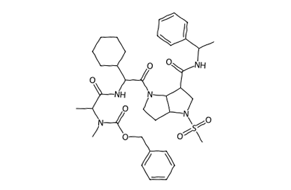 CC(NC(=O)C1CN(S(C)(=O)=O)C2CCN(C(=O)C(NC(=O)C(C)N(C)C(=O)OCc3ccccc3)C3CCCCC3)C12)c1ccccc1